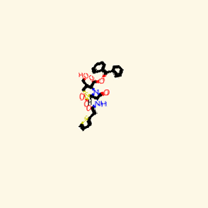 O=C(Cc1cccs1)N[C@H]1C(=O)N2C(C(=O)OC(c3ccccc3)c3ccccc3)=C(CO)CS(=O)(=O)[C@@H]12